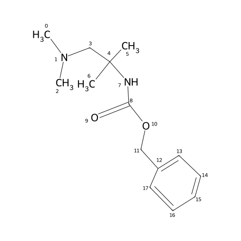 CN(C)CC(C)(C)NC(=O)OCc1ccccc1